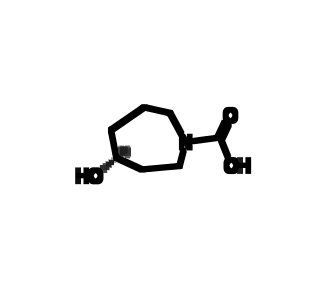 O=C(O)N1CCC[C@@H](O)CC1